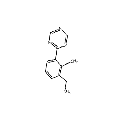 CCc1cccc(-c2ccncn2)c1C